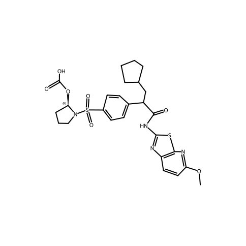 COc1ccc2nc(NC(=O)C(CC3CCCC3)c3ccc(S(=O)(=O)N4CCC[C@H]4OC(=O)O)cc3)sc2n1